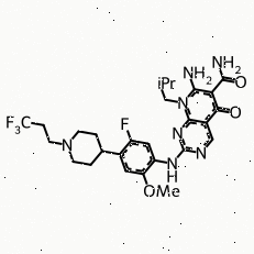 COc1cc(C2CCN(CCC(F)(F)F)CC2)c(F)cc1Nc1ncc2c(=O)c(C(N)=O)c(N)n(CC(C)C)c2n1